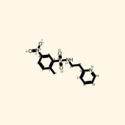 Cc1ccc([N+](=O)[O-])cc1S(=O)(=O)NCCc1ccccn1